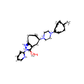 CC(=O)c1ccc(N2CCN(C3CCc4nn(-c5ccccn5)c(O)c4C3)CC2)cc1